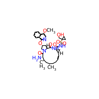 COc1cnc(O[C@@H]2C[C@H]3C(=O)N[C@]4(C(=O)NS(=O)(=O)C5(CO)CC5)C[C@H]4/C=C\CC[C@H](C)C[C@@H](C)[C@H](N)C(=O)N3C2)c2ccccc12